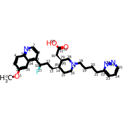 COc1ccc2nccc(C(F)CC[C@@H]3CCN(CCCCc4cccnn4)C[C@@H]3CC(=O)O)c2c1